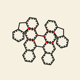 c1ccc(N(c2cccc3c2-c2ccccc2C3)c2ccc3ccccc3c2-c2c(N(c3ccccc3)c3cccc4c3-c3ccccc3C4)ccc3ccccc23)cc1